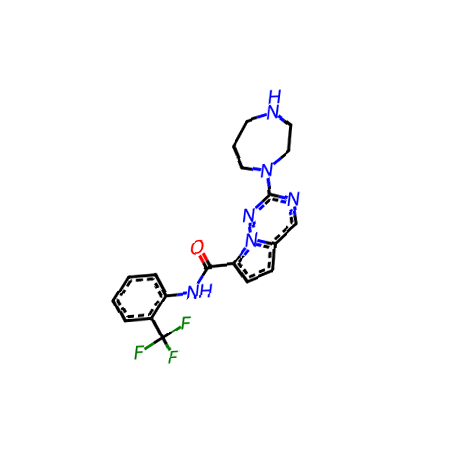 O=C(Nc1ccccc1C(F)(F)F)c1ccc2cnc(N3CCCNCC3)nn12